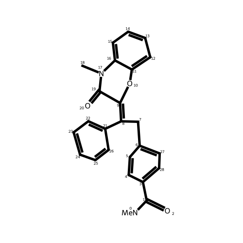 CNC(=O)c1ccc(C/C(=C2\Oc3ccccc3N(C)C2=O)c2ccccc2)cc1